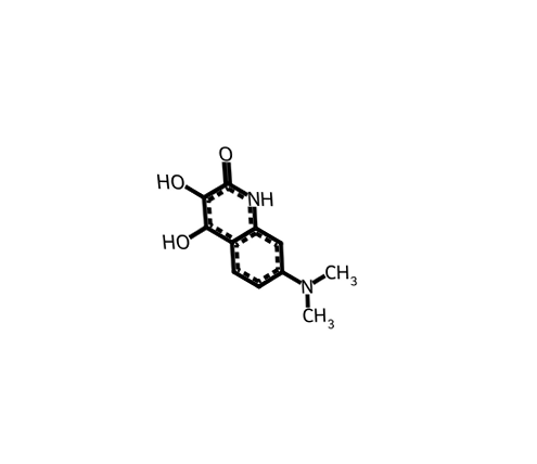 CN(C)c1ccc2c(O)c(O)c(=O)[nH]c2c1